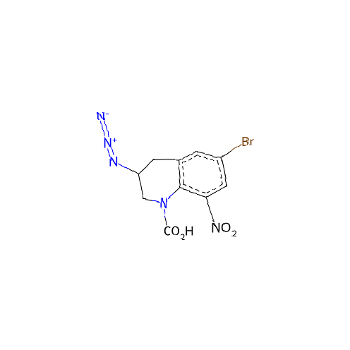 [N-]=[N+]=NC1Cc2cc(Br)cc([N+](=O)[O-])c2N(C(=O)O)C1